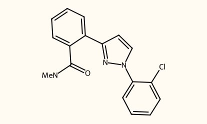 CNC(=O)c1ccccc1-c1ccn(-c2ccccc2Cl)n1